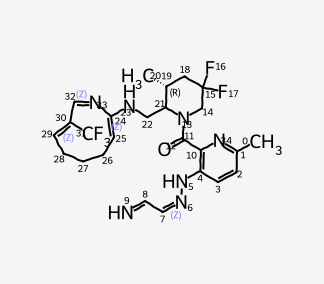 Cc1ccc(N/N=C\C=N)c(C(=O)N2CC(F)(F)C[C@@H](C)C2CNC2=C/CCC/C=C(C(F)(F)F)/C=N\2)n1